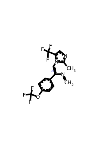 C=N/C(=C\n1c(C(F)(F)F)cnc1C)c1ccc(OC(F)(F)F)cc1